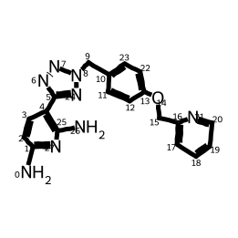 Nc1ccc(-c2nnn(Cc3ccc(OCc4ccccn4)cc3)n2)c(N)n1